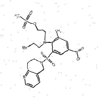 Cc1cc([N+](=O)[O-])cc(S(=O)(=O)N2CCc3ncccc3C2)c1N(CCBr)CCOS(C)(=O)=O